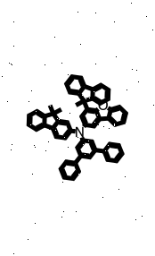 CC1(C)c2ccccc2-c2ccc(N(c3cc(-c4ccccc4)cc(-c4ccccc4)c3)c3cc(C4(C)c5ccccc5-c5ccccc54)c4oc5ccccc5c4c3)cc21